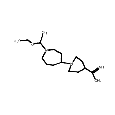 CCOC(O)N1CCCC(N2CCC(C(C)=N)CC2)CC1